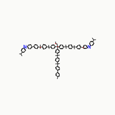 CCCC(c1ccc(C(C)(C)c2ccc(C(C)(C)c3ccc(-c4ccc(C)cc4)cc3)cc2)cc1)(c1ccc(C(C)(C)c2ccc(C(C)(C)c3ccc(-c4ccc(N(C)c5ccc(C(C)C)cc5)cc4)cc3)cc2)cc1)c1ccc(C(C)(C)c2ccc(C(C)(C)c3ccc(-c4ccc(N(C)c5ccc(C(C)C)cc5)cc4)cc3)cc2)cc1